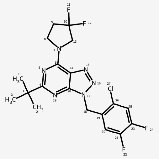 CC(C)(C)c1nc(N2CCC(F)(F)C2)c2nnn(Cc3cc(F)c(F)cc3Cl)c2n1